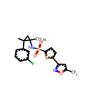 CC1(c2cccc(F)c2)CC1(NS(=O)(=O)c1ccc(-c2cc(C(F)(F)F)on2)s1)C(=O)O